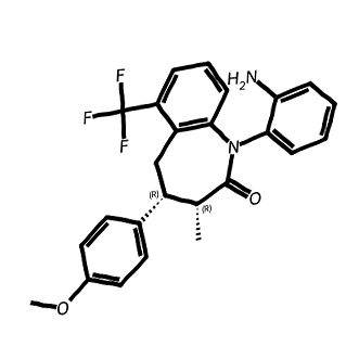 COc1ccc([C@@H]2Cc3c(cccc3C(F)(F)F)N(c3ccccc3N)C(=O)[C@@H]2C)cc1